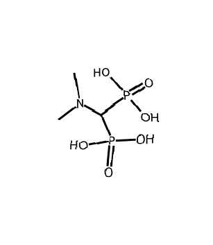 CN(C)C(P(=O)(O)O)P(=O)(O)O